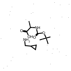 CC(NC(=O)OC(C)(C)C)C(=O)O.NCC1CC1